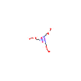 O=C(CCCn1c(=O)n(CCCC(=O)OCC2CO2)c(=O)n(CCCC(=O)OCC2CO2)c1=O)OCC1CO1